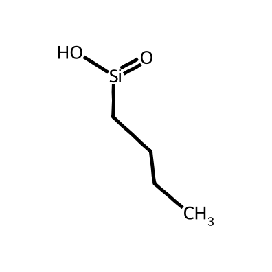 CCCC[Si](=O)O